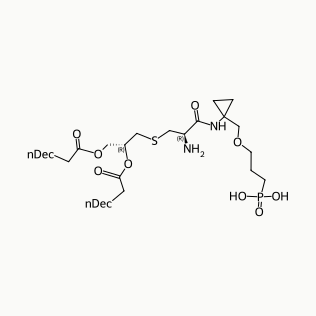 CCCCCCCCCCCC(=O)OC[C@H](CSC[C@H](N)C(=O)NC1(COCCCP(=O)(O)O)CC1)OC(=O)CCCCCCCCCCC